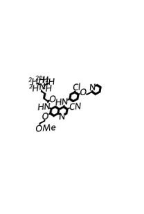 [2H]C([2H])([2H])N(C/C=C/C(=O)Nc1cc2c(Nc3ccc(OCc4ccccn4)c(Cl)c3)c(C#N)cnc2cc1OCCOC)C([2H])([2H])[2H]